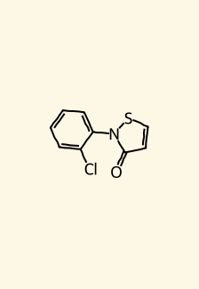 O=c1ccsn1-c1ccccc1Cl